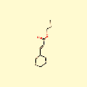 [CH2]CCOC(=O)C=CC1CCCCC1